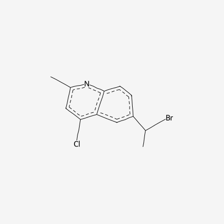 Cc1cc(Cl)c2cc(C(C)Br)ccc2n1